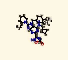 CC1CCC(Cn2c(N3CCCC[C@@H]3C)nc3nc(-c4nc(=O)o[nH]4)nc(N[C@H](C)C4CCC4)c32)CC1